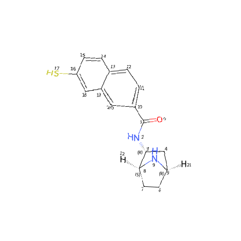 O=C(N[C@@H]1C[C@H]2CC[C@@H]1N2)c1ccc2ccc(S)cc2c1